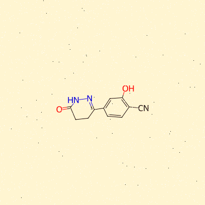 N#Cc1ccc(C2=NNC(=O)CC2)cc1O